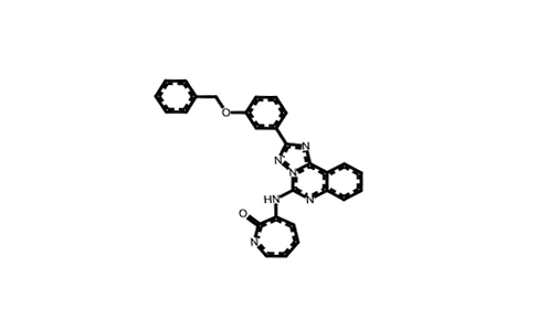 O=c1nccccc1Nc1nc2ccccc2c2nc(-c3cccc(OCc4ccccc4)c3)nn12